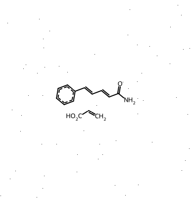 C=CC(=O)O.NC(=O)C=CC=Cc1ccccc1